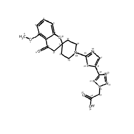 COc1cccc2c1C(=O)CC1(CCN(c3ncc(-c4nnn(CC(=O)O)n4)s3)CC1)O2